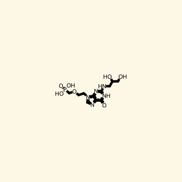 O=c1[nH]c(NCC(O)CO)nc2c1ncn2CCOCP(=O)(O)O